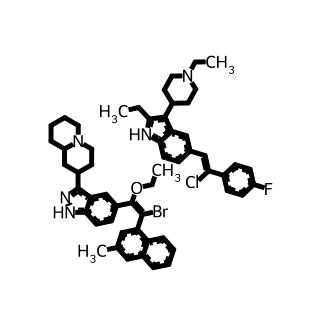 CCO/C(=C(\Br)c1cc(C)cc2ccccc12)c1ccc2[nH]nc(C3CCN4CCCCC4C3)c2c1.CCc1[nH]c2ccc(/C=C(\Cl)c3ccc(F)cc3)cc2c1C1CCN(CC)CC1